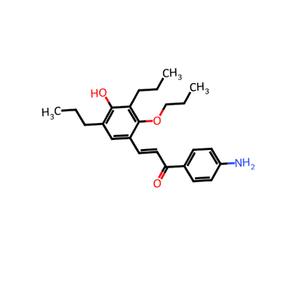 CCCOc1c(/C=C/C(=O)c2ccc(N)cc2)cc(CCC)c(O)c1CCC